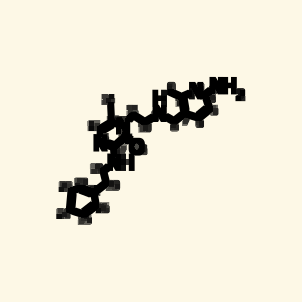 Cc1nc(N)ccc1CNCCn1c(C)cnc(NCCc2ccccc2)c1=O